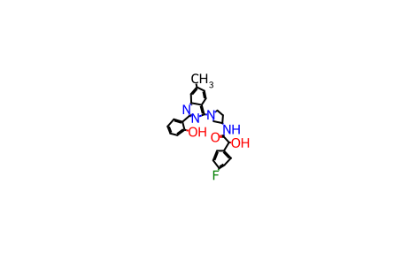 Cc1ccc2c(N3CCC(NC(=O)C(O)c4ccc(F)cc4)C3)nc(-c3ccccc3O)nc2c1